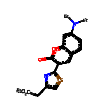 CCOC(=O)Cc1csc(-c2cc3ccc(N(CC)CC)cc3oc2=O)n1